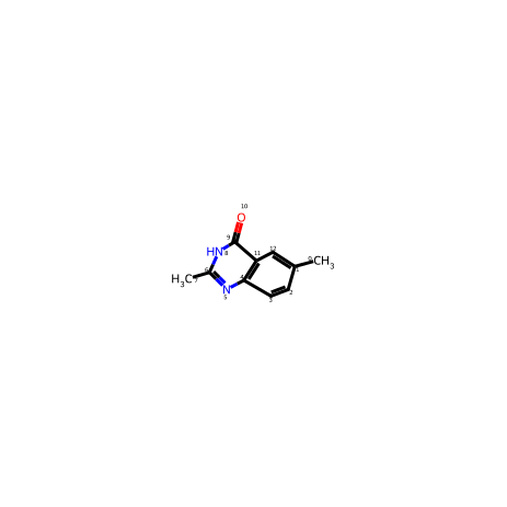 Cc1ccc2nc(C)[nH]c(=O)c2c1